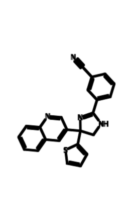 N#Cc1cccc(C2=NC(c3cnc4ccccc4c3)(c3cccs3)CN2)c1